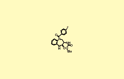 CC(C)(C)OC(=O)NC1CN(C(=O)c2ccc(F)cc2)c2ccccc2NC1=O